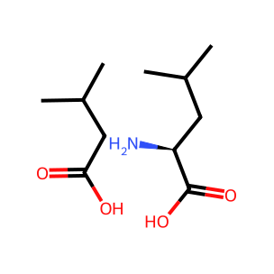 CC(C)CC(=O)O.CC(C)C[C@H](N)C(=O)O